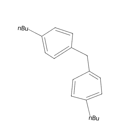 CCCCc1ccc(Cc2ccc(CCCC)cc2)cc1